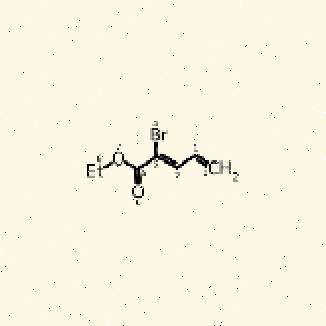 C=CC=C(Br)C(=O)OCC